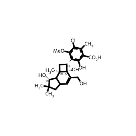 COc1c(Cl)c(C)c(C(=O)O)c(O)c1[C@H]1C[C@]2(C)C3C(C=C(CO)[C@]12O)CC(C)(C)[C@@H]3O